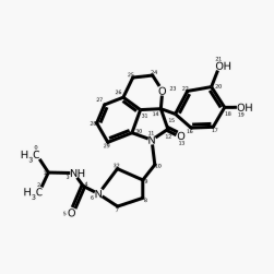 CC(C)NC(=O)N1CCC(CN2C(=O)C3(c4ccc(O)c(O)c4)OCCc4cccc2c43)C1